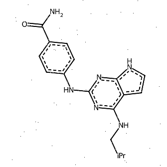 CC(C)CNc1nc(Nc2ccc(C(N)=O)cc2)nc2[nH]ccc12